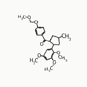 COCOc1ccc(C(=O)C2CC(C)CC2c2cc(OC)cc(OC)c2OC)cc1